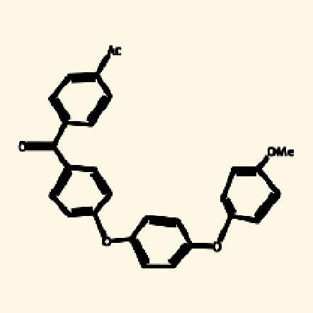 COc1ccc(Oc2ccc(Oc3ccc(C(=O)c4ccc(C(C)=O)cc4)cc3)cc2)cc1